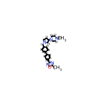 Cc1nc(-c2ccc(-c3ccc(CN4CCC(N5CCN(C)CC5)C4)cc3)cc2)no1